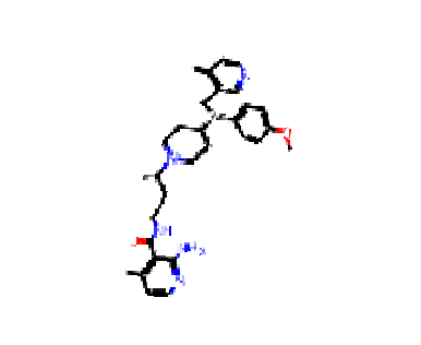 COc1ccc([As](Cc2cnccc2C)C2CCN([C@H](C)CCNC(=O)c3c(C)ccnc3N)CC2)cc1